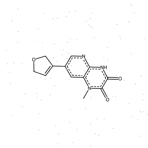 Cn1c(=O)c(=O)[nH]c2ncc(C3=CCOC3)cc21